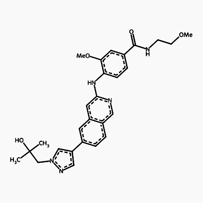 COCCNC(=O)c1ccc(Nc2cc3cc(-c4cnn(CC(C)(C)O)c4)ccc3cn2)c(OC)c1